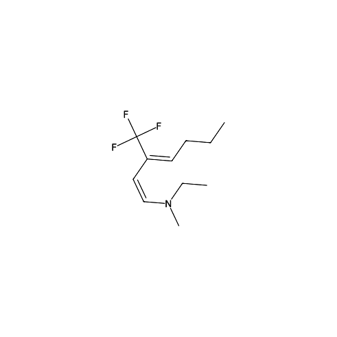 CCC/C=C(/C=C\N(C)CC)C(F)(F)F